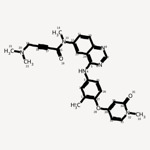 Cc1cc(Nc2ncnc3ccc(N(C)C(=O)C#CCN(C)C)cc23)ccc1Oc1ccn(C)c(=O)c1